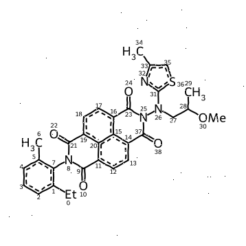 CCc1cccc(C)c1N1C(=O)c2ccc3c4c(ccc(c24)C1=O)C(=O)N(N(CC(C)OC)c1nc(C)cs1)C3=O